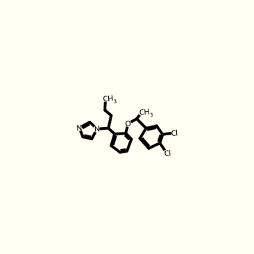 CCCC(c1ccccc1OC(C)c1ccc(Cl)c(Cl)c1)n1ccnc1